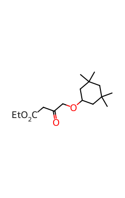 CCOC(=O)CC(=O)COC1CC(C)(C)CC(C)(C)C1